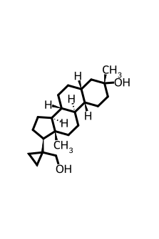 C[C@@]1(O)CC[C@H]2[C@H](CC[C@@H]3[C@@H]2CC[C@]2(C)[C@@H](C4(CO)CC4)CC[C@@H]32)C1